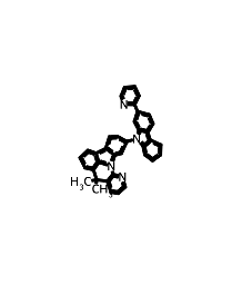 CC1(C)c2cccnc2-n2c3cc(-n4c5ccccc5c5ccc(-c6ccccn6)cc54)ccc3c3cccc1c32